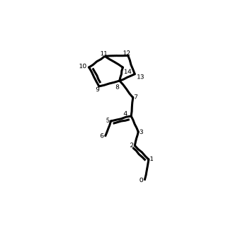 CC=CCC(=CC)CC12C=CC(CC1)C2